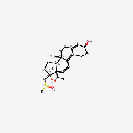 CC[C@]12C=CC3=C4CCC(=O)C=C4CC[C@H]3[C@@H]1CC[C@@]2(O)C[S+](C)[O-]